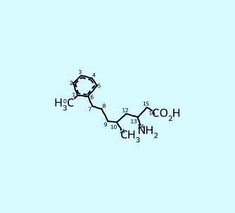 Cc1ccccc1CCCC(C)CC(N)CC(=O)O